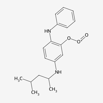 CC(C)CC(C)Nc1ccc(Nc2ccccc2)c(O[O+]=O)c1